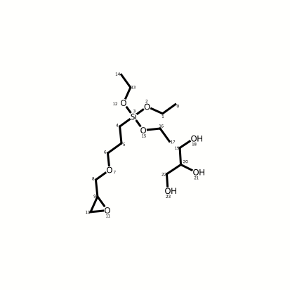 CCO[Si](CCCOCC1CO1)(OCC)OCC.OCC(O)CO